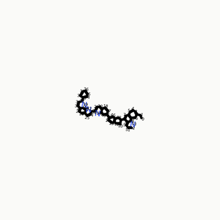 CCC1=CC=Cc2cc(C3C=Cc4ccc(-c5ccc6ccc(-c7ccc8ccc9ccc(-c%10ccccc%10)nc9c8n7)nc6c5)cc4C3)c3cccnc3c2C1